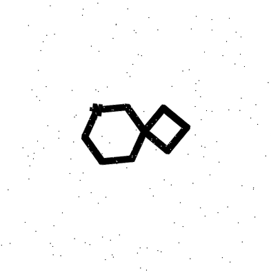 C1C[N]CC2(C1)CCC2